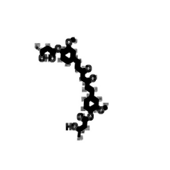 COc1cc(/C=C/C(=O)CC(=O)/C=C/c2ccc(OC(=O)C[C@@H](C)O)c(OC)c2)ccc1OC(=O)C[C@@H](C)O